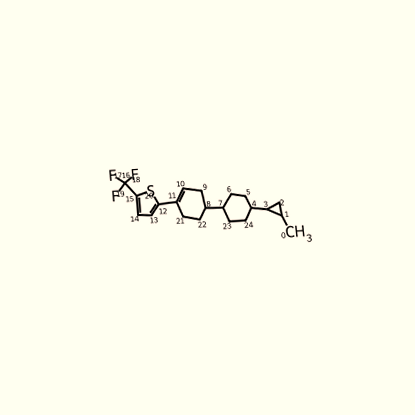 CC1CC1C1CCC(C2CC=C(c3ccc(C(F)(F)F)s3)CC2)CC1